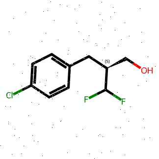 OC[C@H](Cc1ccc(Cl)cc1)C(F)F